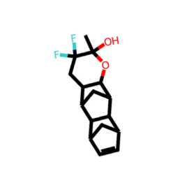 CC1(O)OC2C(CC1(F)F)C1CC2C2C3C=CC(C3)C12